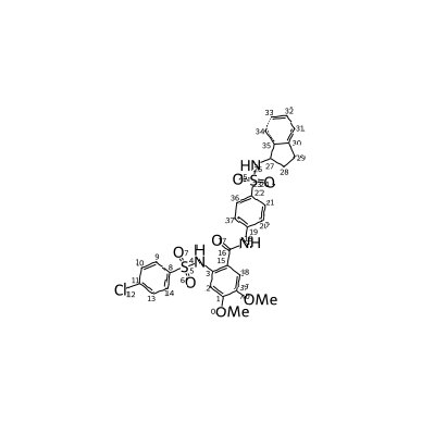 COc1cc(NS(=O)(=O)c2ccc(Cl)cc2)c(C(=O)Nc2ccc(S(=O)(=O)NC3CCc4ccccc43)cc2)cc1OC